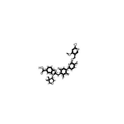 COc1cc(Cl)ncc1COc1nc(-c2cc(F)c(Cc3nc4ccc(C(=O)O)cc4n3C3COCC3(C)C)c(F)c2F)ccc1F